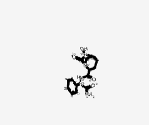 NC(=O)N(NC(=O)C1CCC2CN1C(=O)N2O)c1ccccc1